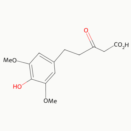 COc1cc(CCC(=O)CC(=O)O)cc(OC)c1O